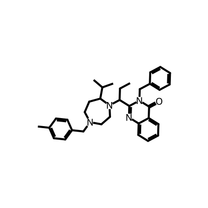 CCC(c1nc2ccccc2c(=O)n1Cc1ccccc1)N1CCN(Cc2ccc(C)cc2)CCC1C(C)C